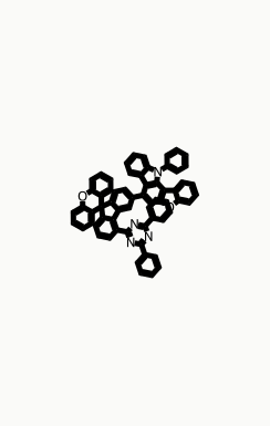 c1ccc(-c2nc(-c3ccccc3)nc(-c3cccc4c3-c3cc(-c5cc6oc7ccccc7c6c6c5c5ccccc5n6-c5ccccc5)ccc3C43c4ccccc4Oc4ccccc43)n2)cc1